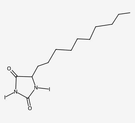 CCCCCCCCCCC1C(=O)N(I)C(=O)N1I